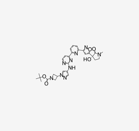 CN1CC[C@@](O)(c2cc(-c3cccc(-c4ccnc(Nc5cnn(C6CN(C(=O)OC(C)(C)C)C6)c5)n4)n3)no2)C1=O